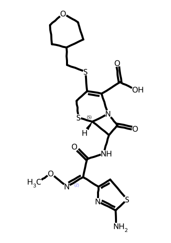 CO/N=C(\C(=O)NC1C(=O)N2C(C(=O)O)=C(SCC3CCOCC3)CS[C@@H]12)c1csc(N)n1